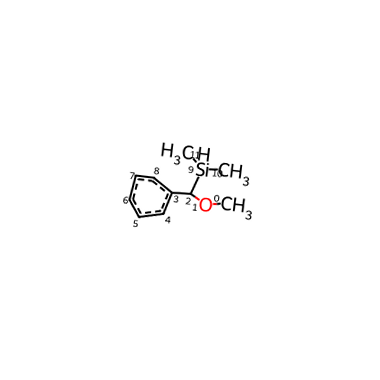 COC(c1ccccc1)[SiH](C)C